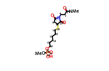 CNC(=O)CCN1C(=O)CC(SCCCCCCOP(=O)(O)OC)C1=O